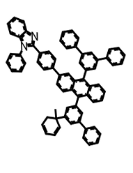 CC1(c2cc(-c3ccccc3)cc(-c3c4ccccc4c(-c4cc(-c5ccccc5)cc(-c5ccccc5)c4)c4cc(-c5ccc(-c6nc7ccccc7n6-c6ccccc6)cc5)ccc34)c2)C=CC=CC1